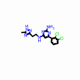 Cc1nc(CCNc2cc(-c3cccc(Cl)c3Cl)nc(N)n2)n[nH]1